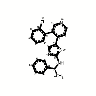 C[C@H](Nc1ncc(-c2ccncc2-c2ccccc2Cl)s1)c1ccccc1